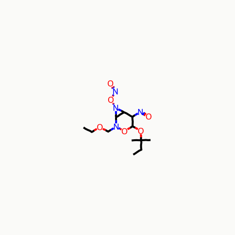 CCOCN1OC(OC(C)(C)CC)C(N=O)C2C1N2ON=O